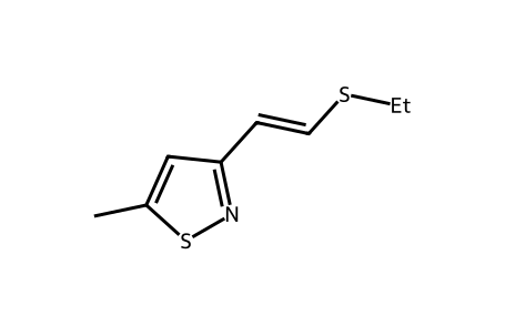 CCSC=Cc1cc(C)sn1